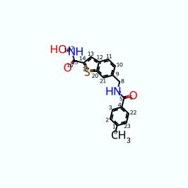 Cc1ccc(C(=O)NCc2ccc3cc(C(=O)NO)sc3c2)cc1